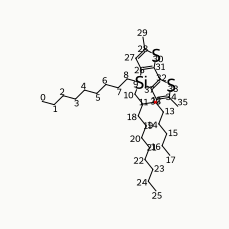 CCCCCCCCC[Si]1(CC(CCCCCC)CCCCCCCC)c2cc(C)sc2-c2sc(C)cc21